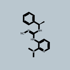 C[C@@H](N/C(=N/C#N)Nc1cccnc1N(C)C)c1ccccc1